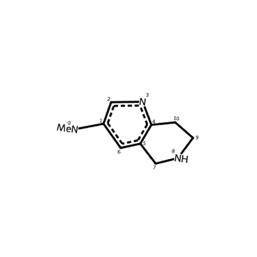 CNc1cnc2c(c1)CNCC2